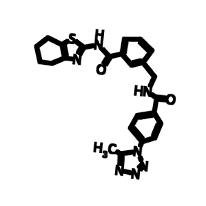 Cc1nnnn1-c1ccc(C(=O)NCc2cccc(C(=O)Nc3nc4c(s3)CCCC4)c2)cc1